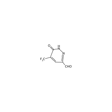 O=Cc1cc(C(F)(F)F)c(=O)[nH]n1